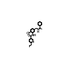 C[C@@H](NCc1ccc(Cl)c(NC(=O)c2ccc(CI)nc2)c1)c1ccccc1